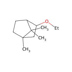 CCOC1CC2(C)CCC1C2(C)C